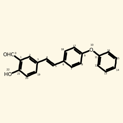 O=Cc1cc(/C=C/c2ccc(Oc3ccccc3)cc2)ccc1O